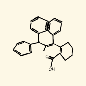 CC(=C(C1=C(C(=O)O)CCCC1)c1ccccc1)C(c1ccccc1)c1ccccc1